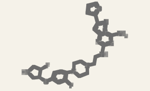 Nc1nc(NCCN2CCN(c3ccc(O[C@H]4CNC[C@H]4F)cc3F)CC2)nc2cc(-c3ccco3)nn12